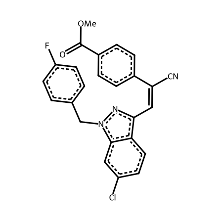 COC(=O)c1ccc(C(C#N)=Cc2nn(Cc3ccc(F)cc3)c3cc(Cl)ccc23)cc1